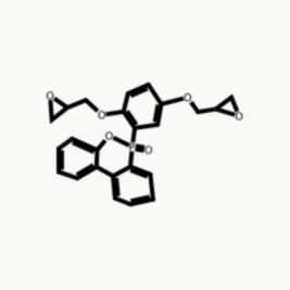 O=P1(c2cc(OCC3CO3)ccc2OCC2CO2)Oc2ccccc2-c2ccccc21